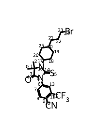 CC1(C)C(=O)N(c2ccc(C#N)c(C(F)(F)F)c2)C(=S)N1C1CCC(CCCBr)CC1